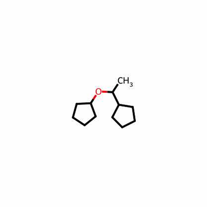 CC(OC1CCCC1)C1CCCC1